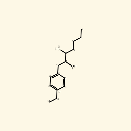 CCCCC(O)C(O)Cc1ccc(CC)cc1